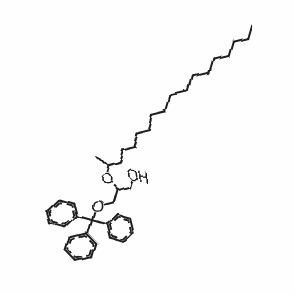 CCCCCCCCCCCCCCCCC(C)OC(CO)COC(c1ccccc1)(c1ccccc1)c1ccccc1